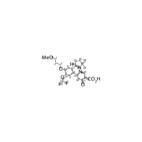 COCCCOc1cc2c(cc1OC(F)F)-c1cc(=O)c(C(=O)O)cn1N1[C@@H]2CCC1(C)C